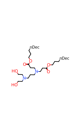 CCCCCCCCCCCCCOC(=O)CCN(CCCN(CCO)CCO)CCC(=O)OCCCCCCCCCCCCC